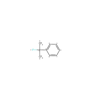 FC(F)(F)C(F)(c1ccccc1)C(F)(F)F